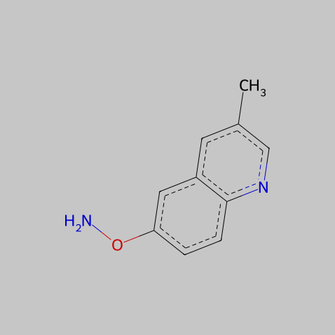 Cc1cnc2ccc(ON)cc2c1